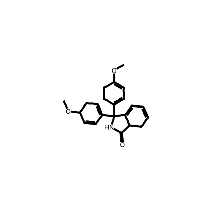 COC1=CC=C(C2(C3=CCC(OC)C=C3)NC(=O)C3CC=CC=C32)CC1